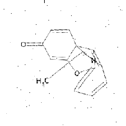 CC1=CC23C=CC(=O)C=C2Oc2cccc(c23)C=N1